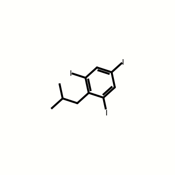 CC(C)Cc1c(I)cc(I)cc1I